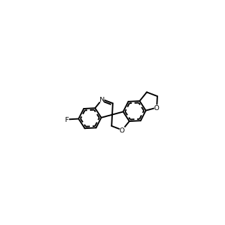 Fc1ccc2c(c1)N=CC21COc2cc3c(cc21)CCO3